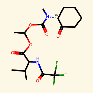 CC(OC(=O)C(NC(=O)C(F)(F)F)C(C)C)OC(=O)N(C)[C@@H]1CCCCC1=O